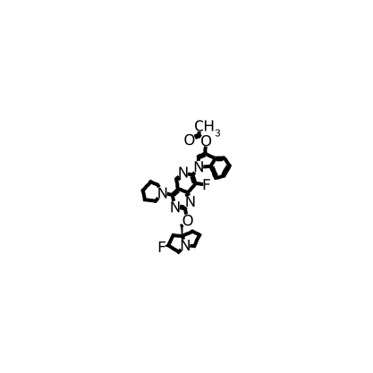 CC(=O)Oc1cn(-c2ncc3c(N4CCCCC4)nc(OC[C@@]45CCCN4C[C@H](F)C5)nc3c2F)c2ccccc12